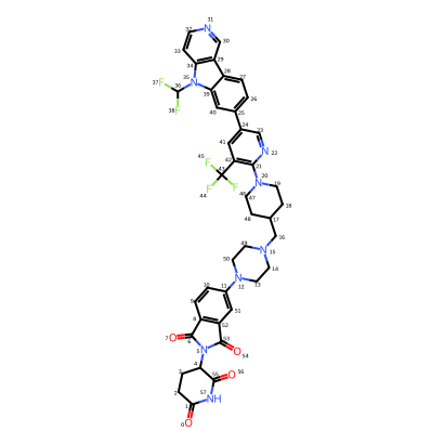 O=C1CCC(N2C(=O)c3ccc(N4CCN(CC5CCN(c6ncc(-c7ccc8c9cnccc9n(C(F)F)c8c7)cc6C(F)(F)F)CC5)CC4)cc3C2=O)C(=O)N1